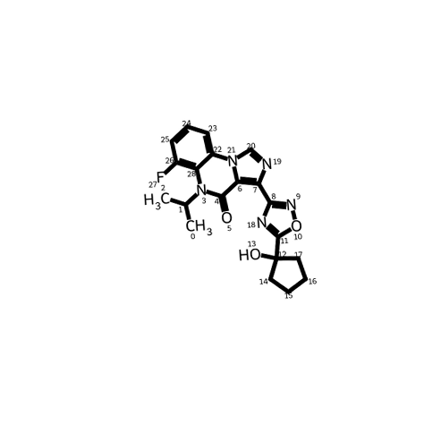 CC(C)n1c(=O)c2c(-c3noc(C4(O)CCCC4)n3)ncn2c2cccc(F)c21